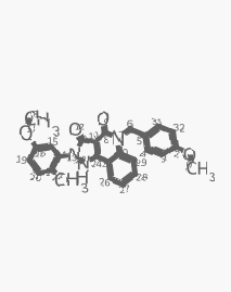 COc1ccc(Cn2c(=O)c3c(=O)n(-c4cc(OC)ccc4C)[nH]c3c3ccccc32)cc1